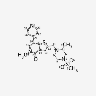 CC1CN(S(C)(=O)=O)CCN1Cc1cc2c(=O)n(C)cc(-c3ccncc3)c2s1